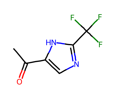 CC(=O)c1cnc(C(F)(F)F)[nH]1